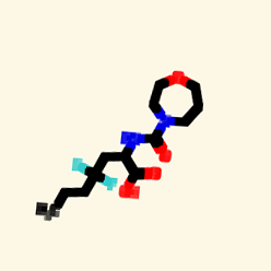 CCCC(F)(F)CC(NC(=O)N1CCCOCC1)C(=O)O